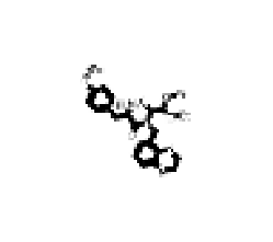 CCOC(OCC)C(C)N(Cc1cccc2nccnc12)C(=O)C(N)Cc1ccc(OC(C)(C)C)cc1